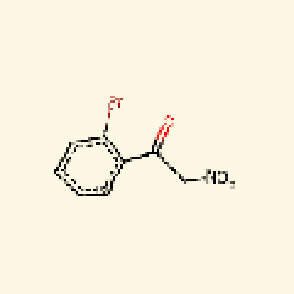 O=C(C[N+](=O)[O-])c1ccccc1Br